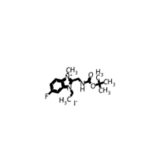 CCn1c(CNC(=O)OC(C)(C)C)[n+](C)c2ccc(F)cc21.[I-]